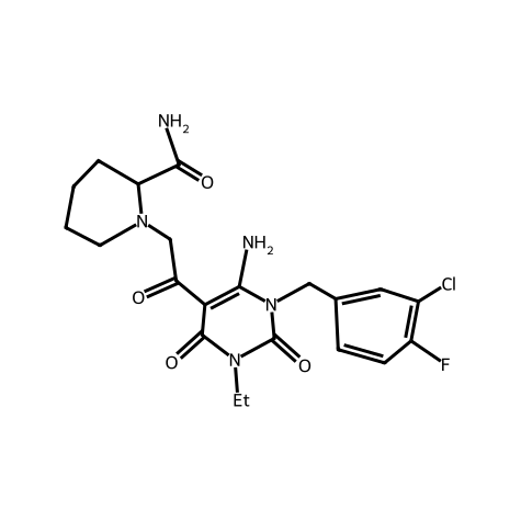 CCn1c(=O)c(C(=O)CN2CCCCC2C(N)=O)c(N)n(Cc2ccc(F)c(Cl)c2)c1=O